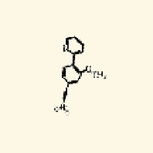 COc1cc(C#C[N+](=O)[O-])ccc1-c1ccccn1